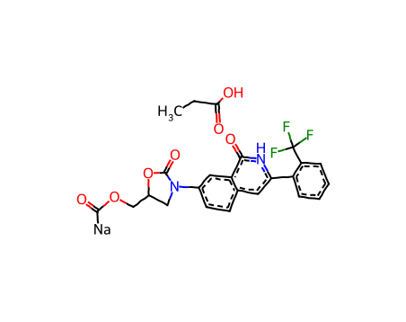 CCC(=O)O.O=[C]([Na])OCC1CN(c2ccc3cc(-c4ccccc4C(F)(F)F)[nH]c(=O)c3c2)C(=O)O1